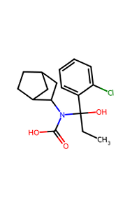 CCC(O)(c1ccccc1Cl)N(C(=O)O)C1CC2CCC1C2